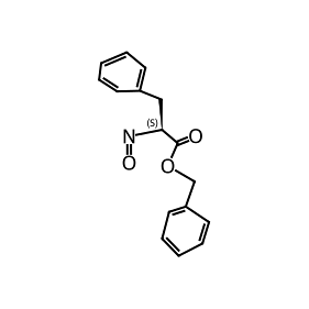 O=N[C@@H](Cc1ccccc1)C(=O)OCc1ccccc1